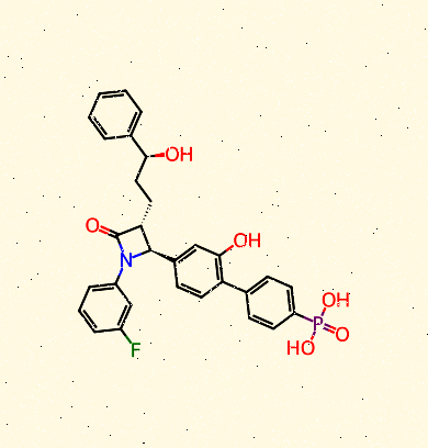 O=C1[C@H](CC[C@H](O)c2ccccc2)[C@@H](c2ccc(-c3ccc(P(=O)(O)O)cc3)c(O)c2)N1c1cccc(F)c1